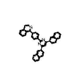 c1ccc2cc(-c3cc(-c4ccc5ccccc5c4)nc(-c4ccc(-c5nccc6ccccc56)cc4)n3)ccc2c1